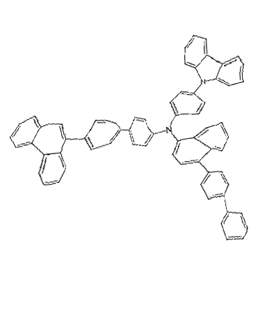 c1ccc(-c2ccc(-c3ccc(N(c4ccc(-c5ccc(-c6cc7ccccc7c7ccccc67)cc5)cc4)c4ccc(-n5c6ccccc6c6ccccc65)cc4)c4ccccc34)cc2)cc1